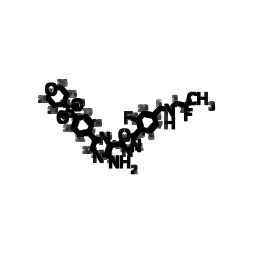 CC(F)CNCc1ccc(-c2nnc(-c3nc(-c4ccc(S(=O)(=O)C5CCOCC5)cc4)cnc3N)o2)c(F)c1